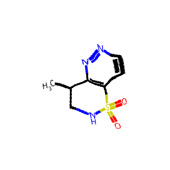 CC1CNS(=O)(=O)c2ccnnc21